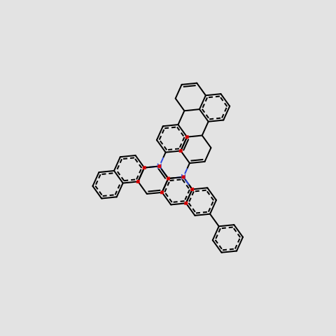 C1=CC(N(C2=CCC(c3cccc4c3C(c3ccc(N(c5ccccc5)c5ccc6ccccc6c5)cc3)CC=C4)C=C2)c2ccc(-c3ccccc3)cc2)=CCC1